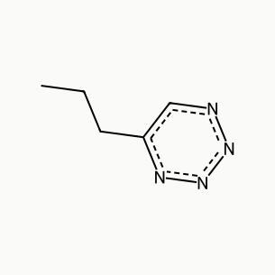 CCCc1cnnnn1